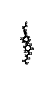 CCCC#Cc1ccc(C2CCC(CCCCC)CC2)cc1